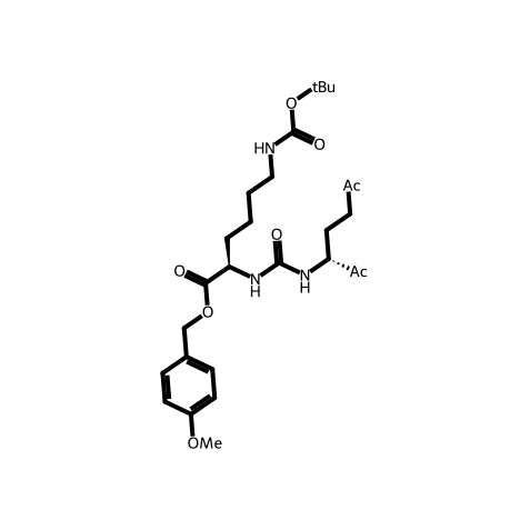 COc1ccc(COC(=O)[C@@H](CCCCNC(=O)OC(C)(C)C)NC(=O)N[C@H](CCC(C)=O)C(C)=O)cc1